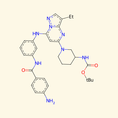 CCc1cnn2c(Nc3cccc(NC(=O)c4ccc(N)cc4)c3)cc(N3CCCC(NC(=O)OC(C)(C)C)C3)nc12